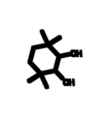 CC1(C)CCC(C)(C)C(O)C1O